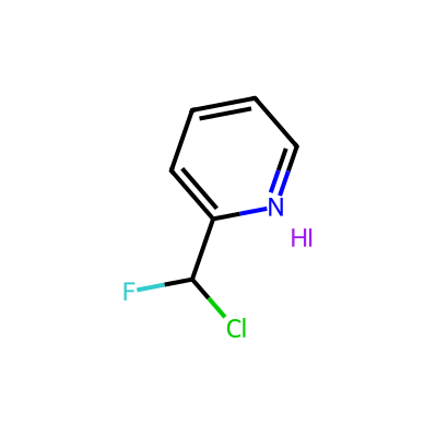 FC(Cl)c1ccccn1.I